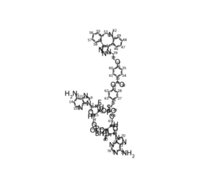 B[P@@]1(=O)OC[C@H]2O[C@@H](n3cnc4c(N)ccnc43)[C@H](F)[C@@H]2O[P@@](=O)(SCc2ccc(OC(=O)c3ccc(OCCn4nnc5c4-c4ccccc4N(C)Cc4ccccc4-5)cc3)cc2)OC[C@H]2O[C@@H](n3cnc4c(N)ncnc43)[C@H](F)[C@@H]2O1